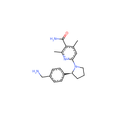 Cc1cc(N2CCC[C@H]2c2ccc(CN)cc2)nc(C)c1C(N)=O